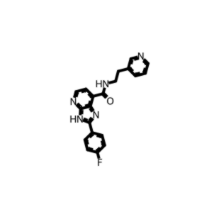 O=C(NCCc1cccnc1)c1ccnc2[nH]c(-c3ccc(F)cc3)nc12